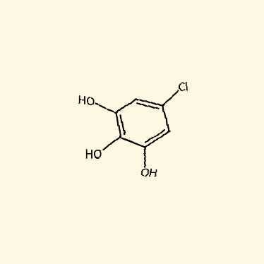 Oc1cc(Cl)cc(O)c1O